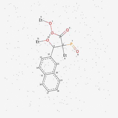 CCOOC(=O)C(CC)(P=O)C(OCC)c1ccc2ccccc2c1